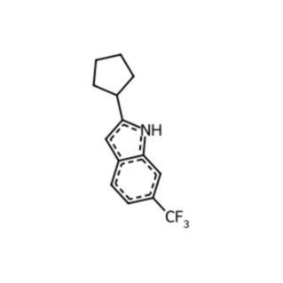 FC(F)(F)c1ccc2cc(C3CCCC3)[nH]c2c1